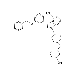 Nc1nccn2c(C3CCC(CN4CCCC(O)C4)CC3)nc(-c3cccc(OCc4ccccc4)c3)c12